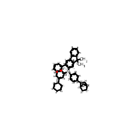 CC1(C)c2ccccc2-c2cc(-c3ccccc3)c(N(c3ccc(C4CC5CCC4C5)cc3)c3cccc(C4CCCCC4)c3)cc21